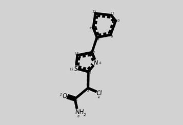 NC(=O)C(Cl)c1nc(-c2ccccc2)cs1